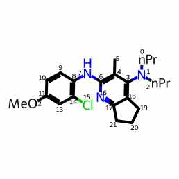 CCCN(CCC)c1c(C)c(Nc2ccc(OC)cc2Cl)nc2c1CCC2